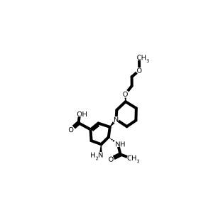 COCCO[C@@H]1CCCN([C@@H]2C=C(C(=O)O)C[C@H](N)[C@H]2NC(C)=O)C1